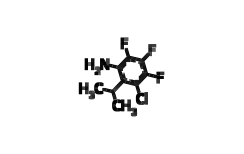 CC(C)c1c(N)c(F)c(F)c(F)c1Cl